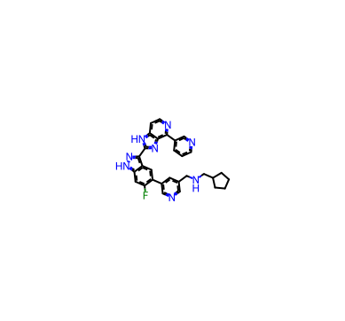 Fc1cc2[nH]nc(-c3nc4c(-c5cccnc5)nccc4[nH]3)c2cc1-c1cncc(CNCC2CCCC2)c1